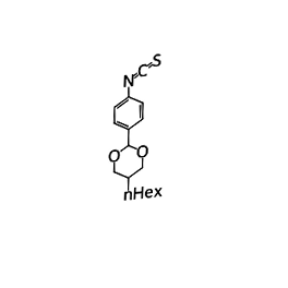 CCCCCCC1COC(c2ccc(N=C=S)cc2)OC1